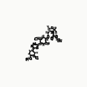 CC(C)Oc1ccc(-c2nnc(-c3cc(F)c(OC[C@H]4C(C)OC(C)(C)N4C(=O)OC(C)(C)C)cc3Cl)s2)cc1Cl